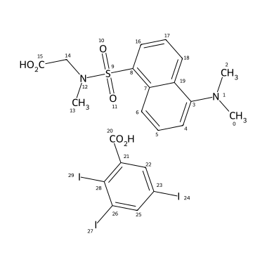 CN(C)c1cccc2c(S(=O)(=O)N(C)CC(=O)O)cccc12.O=C(O)c1cc(I)cc(I)c1I